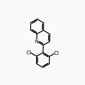 Clc1cccc(Cl)c1-c1ccc2c[c]ccc2n1